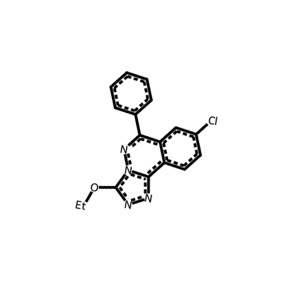 CCOc1nnc2c3ccc(Cl)cc3c(-c3ccccc3)nn12